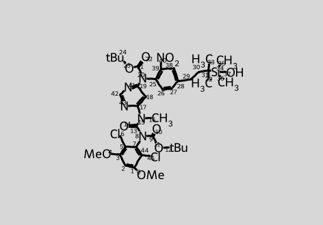 COc1cc(OC)c(Cl)c(N(C(=O)OC(C)(C)C)C(=O)N(C)c2cc(N(C(=O)OC(C)(C)C)c3ccc(CCC(C)(C)[Si](C)(C)O)cc3[N+](=O)[O-])ncn2)c1Cl